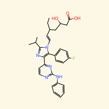 CCC(/C=C/n1c(C(C)C)nc(-c2ccnc(Nc3ccccc3)n2)c1-c1ccc(F)cc1)CC(O)CC(=O)O